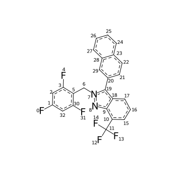 Fc1cc(F)c(Cn2nc3c(C(F)(F)F)cccc3c2-c2ccc3ccccc3c2)c(F)c1